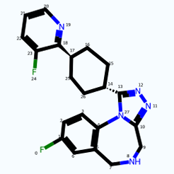 Fc1ccc2c(c1)CNCc1nnc([C@H]3CC[C@H](c4ncccc4F)CC3)n1-2